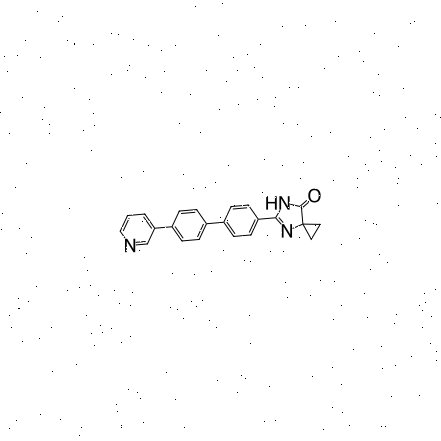 O=C1NC(c2ccc(-c3ccc(-c4cccnc4)cc3)cc2)=NC12CC2